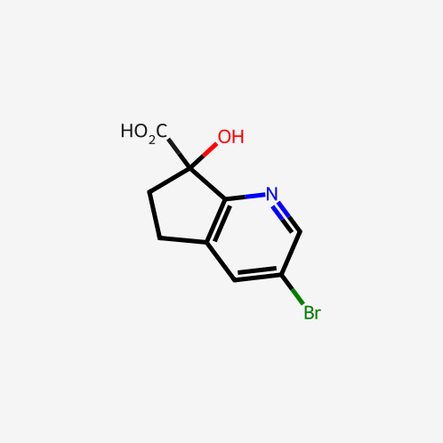 O=C(O)C1(O)CCc2cc(Br)cnc21